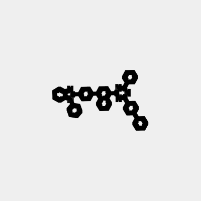 c1ccc(-c2ccc(-c3nc(-c4ccccc4)nc(-c4ccc(-c5ccc(-c6nc7ccccc7n6-c6ccccc6)cc5)c5ccccc45)n3)cc2)cc1